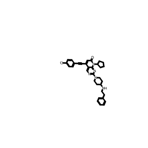 O=c1cc(C#Cc2ccc(Cl)cc2)c2cnc(N3CCC(NCCc4ccccc4)CC3)nc2n1C1CCCC1